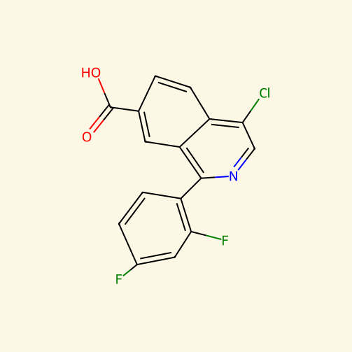 O=C(O)c1ccc2c(Cl)cnc(-c3ccc(F)cc3F)c2c1